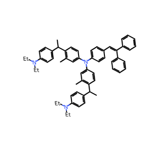 CCN(CC)c1ccc(C(C)c2ccc(N(c3ccc(C=C(c4ccccc4)c4ccccc4)cc3)c3ccc(C(C)c4ccc(N(CC)CC)cc4)c(C)c3)cc2C)cc1